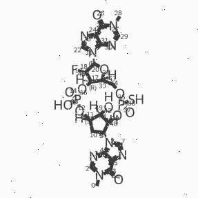 Cn1cnc2c(ncn2[C@@H]2C[C@@H]3OP(=O)(O)O[C@H]4[C@@H](F)[C@H](n5cnc6c(=O)n(C)cnc65)O[C@@H]4COP(=O)(S)O[C@@H]2[C@@H]3O)c1=O